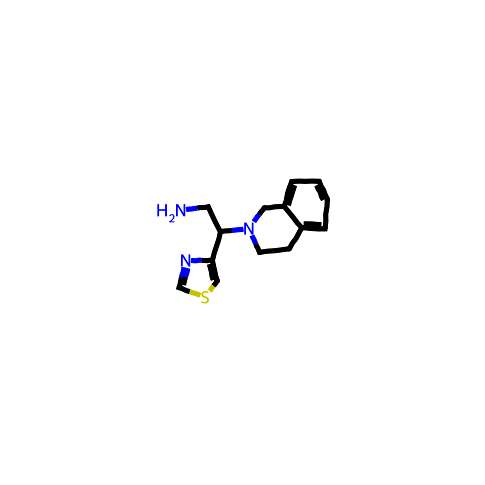 NCC(c1cscn1)N1CCc2ccccc2C1